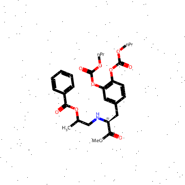 CCCOC(=O)Oc1ccc(C[C@H](NCC(C)OC(=O)c2ccccc2)C(=O)OC)cc1OC(=O)OCCC